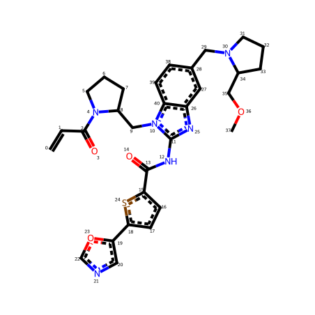 C=CC(=O)N1CCCC1Cn1c(NC(=O)c2ccc(-c3cnco3)s2)nc2cc(CN3CCCC3COC)ccc21